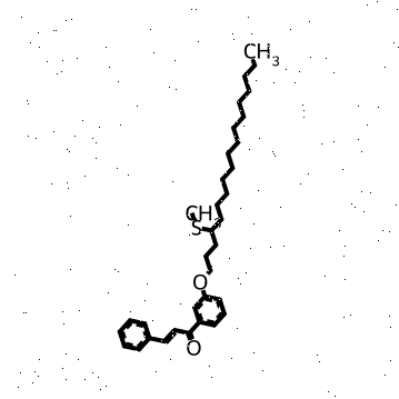 CCCCCCCCCCCCCCC(CCCOc1cccc(C(=O)C=Cc2ccccc2)c1)SC